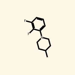 CC1CCN(c2cccc(F)c2F)CC1